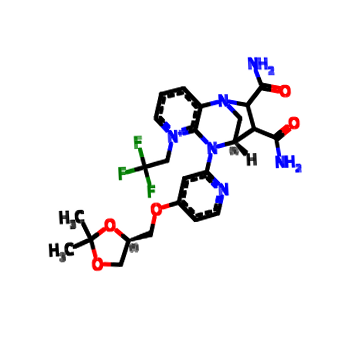 CC1(C)OC[C@H](COc2ccnc(N3c4c(ccc[n+]4CC(F)(F)F)N4C[C@@H]3C(C(N)=O)C4C(N)=O)c2)O1